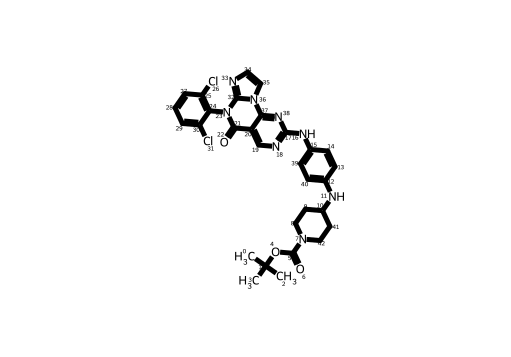 CC(C)(C)OC(=O)N1CCC(Nc2ccc(Nc3ncc4c(=O)n(-c5c(Cl)cccc5Cl)c5nccn5c4n3)cc2)CC1